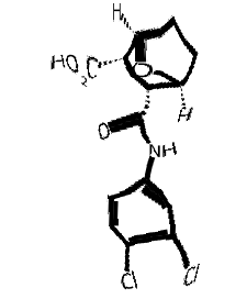 O=C(Nc1ccc(Cl)c(Cl)c1)[C@@H]1[C@H](C(=O)O)[C@H]2CC[C@@H]1O2